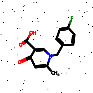 Cc1cc(=O)c(C(=O)O)cn1Cc1ccc(F)cc1